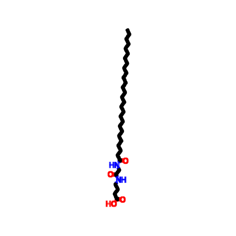 CCCCCCCCCCCCCCCCCCCCCCCCCCCC(=O)NCC(=O)NCCCC(=O)O